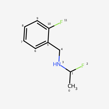 CC(F)NCc1ccccc1F